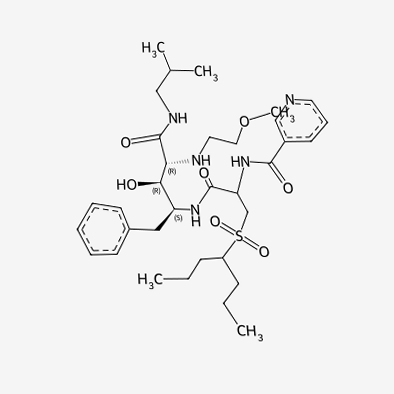 CCCC(CCC)S(=O)(=O)CC(NC(=O)c1cccnc1)C(=O)N[C@@H](Cc1ccccc1)[C@@H](O)[C@@H](NCCOC)C(=O)NCC(C)C